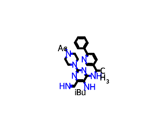 CCC(C)Nc1c(C=N)nc(N2CCN(C(C)=O)CC2)nc1NC(C)c1ccc(-c2ccccc2)nc1